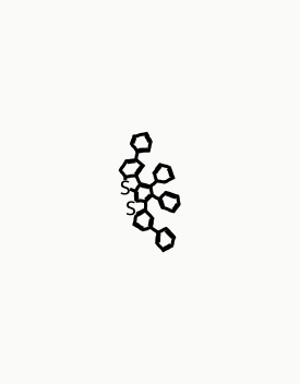 C1=CCC(c2c3c(c4sc5ccc(-c6ccccc6)cc5c4c2-c2ccccc2)SC2CC=C(c4ccccc4)C=C32)C=C1